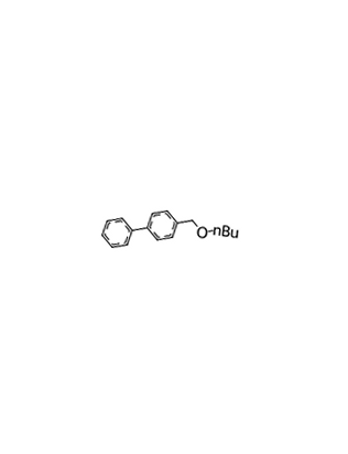 [CH2]CCCOCc1ccc(-c2ccccc2)cc1